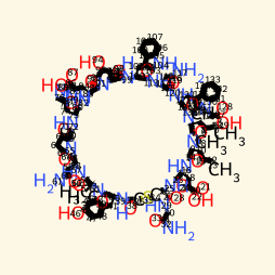 CCCC[C@H]1C(=O)N(C)[C@@H](CCCC)C(=O)N[C@@H](CCC(=O)O)C(=O)N[C@H](C(=O)NCC(N)=O)CSCC(=O)N[C@@H](Cc2ccc(O)cc2)C(=O)N(C)[C@@H](C)C(=O)N[C@@H](CC(N)=O)C(=O)N2CCC[C@H]2C(=O)N[C@@H](Cc2cnc[nH]2)C(=O)N[C@@H](CCC(=O)O)C(=O)N2C[C@H](O)C[C@H]2C(=O)N[C@@H](Cc2c[nH]c3ccccc23)C(=O)N[C@@H](CCN)C(=O)N[C@@H](Cc2cn(CC(=O)O)c3ccccc23)C(=O)N1C